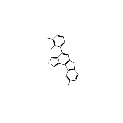 Nc1cccc(-c2cc3[nH]c4ccc(O)cc4c3c3c[nH]cc23)c1Cl